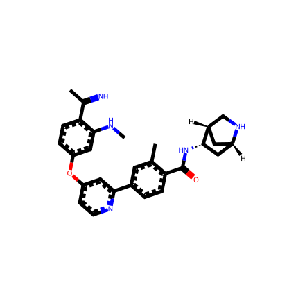 CNc1cc(Oc2ccnc(-c3ccc(C(=O)N[C@H]4C[C@@H]5C[C@H]4CN5)c(C)c3)c2)ccc1C(C)=N